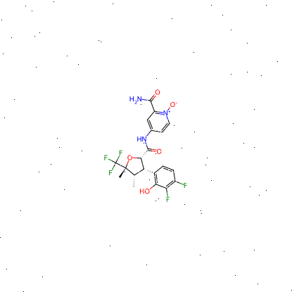 C[C@H]1[C@@H](c2ccc(F)c(F)c2O)[C@@H](C(=O)Nc2cc[n+]([O-])c(C(N)=O)c2)O[C@@]1(C)C(F)(F)F